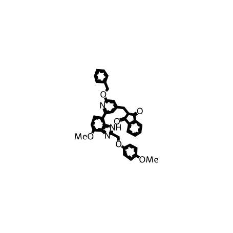 COc1ccc(OCc2nc3c(OC)ccc(-c4cc(CC5C(=O)c6ccccc6C5=O)cc(OCc5ccccc5)n4)c3[nH]2)cc1